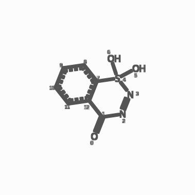 O=C1N=NS(O)(O)c2ccccc21